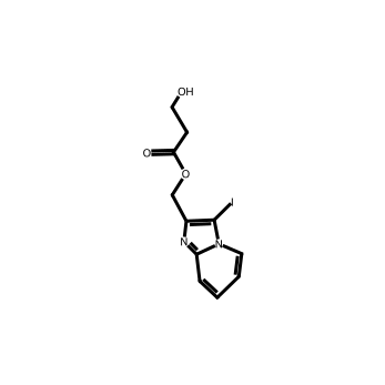 O=C(CCO)OCc1nc2ccccn2c1I